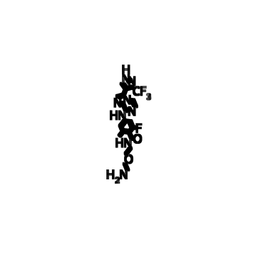 Cc1cc(Nc2nccn3c(-c4c[nH]nc4C(F)(F)F)cnc23)cc(F)c1C(=O)NCCOCCN